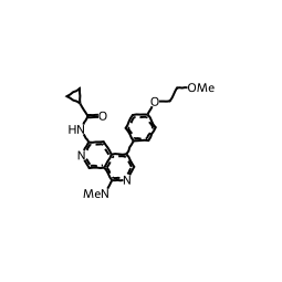 CNc1ncc(-c2ccc(OCCOC)cc2)c2cc(NC(=O)C3CC3)ncc12